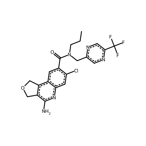 CCCN(Cc1cnc(C(F)(F)F)cn1)C(=O)c1cc2c3c(c(N)nc2cc1Cl)COC3